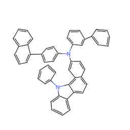 c1ccc(-c2cccc(N(c3ccc(-c4cccc5ccccc45)cc3)c3ccc4ccc5c6ccccc6n(-c6ccccc6)c5c4c3)c2)cc1